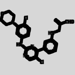 C=C(C=O)CNc1cccc(-c2nc(Nc3ccc(Cl)c(N4CCOCC4)c3)ncc2Cl)c1